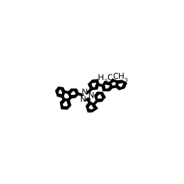 CC1(C)c2ccccc2-c2ccc(-c3cccc(-c4nc(-c5ccc6c7ccccc7c7ccccc7c6c5)nc(-c5ccccc5-c5ccccc5)n4)c3)cc21